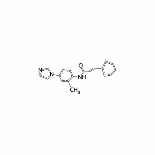 Cc1cc(-n2ccnc2)ccc1NC(=O)C=Cc1ccccc1